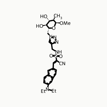 CCN(CC)c1ccc2cc(/C=C(\C#N)S(=O)(=O)NCc3cn(C[C@H]4O[C@H](OC)[C@H](C)[C@@H](O)[C@@H]4O)nn3)ccc2c1